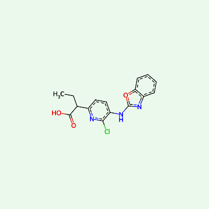 CCC(C(=O)O)c1ccc(Nc2nc3ccccc3o2)c(Cl)n1